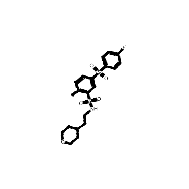 Cc1ccc(S(=O)(=O)c2ccc(F)cc2)cc1S(=O)(=O)NCCC1CCOCC1